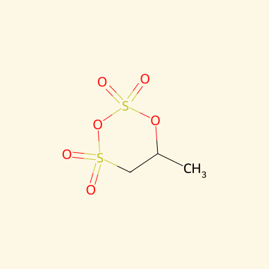 CC1CS(=O)(=O)OS(=O)(=O)O1